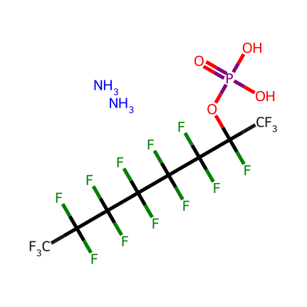 N.N.O=P(O)(O)OC(F)(C(F)(F)F)C(F)(F)C(F)(F)C(F)(F)C(F)(F)C(F)(F)C(F)(F)F